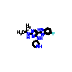 CC(C)Nc1ncc(-c2nc3cc(F)ccc3[nH]2)c(N[C@H]2CCCNC2)n1